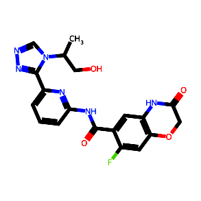 CC(CO)n1cnnc1-c1cccc(NC(=O)c2cc3c(cc2F)OCC(=O)N3)n1